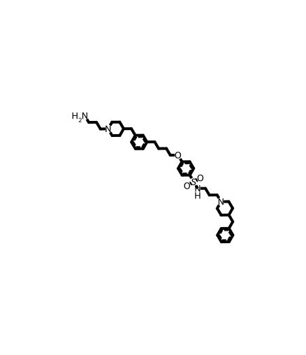 NCCCN1CCC(Cc2cccc(CCCCOc3ccc(S(=O)(=O)NCCCN4CCC(Cc5ccccc5)CC4)cc3)c2)CC1